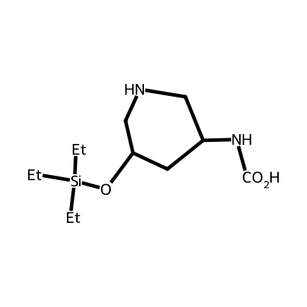 CC[Si](CC)(CC)OC1CNCC(NC(=O)O)C1